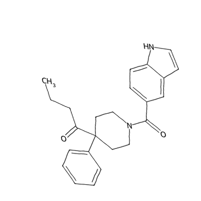 CCCC(=O)C1(c2ccccc2)CCN(C(=O)c2ccc3[nH]ccc3c2)CC1